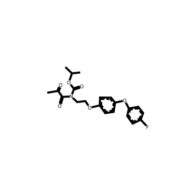 CC(=O)C(=O)N(CCOc1ccc(Oc2ccc(F)cc2)cc1)C(=O)OC(C)C